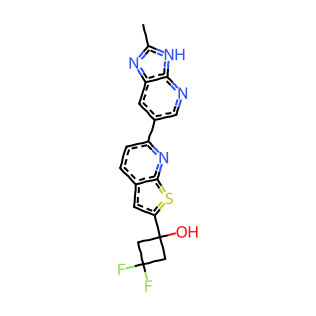 Cc1nc2cc(-c3ccc4cc(C5(O)CC(F)(F)C5)sc4n3)cnc2[nH]1